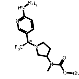 CN(C(=O)OC(C)(C)C)C1CCN([C@H](c2ccc(NN)nc2)C(F)(F)F)C1